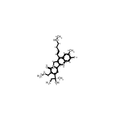 CC[C@](C)(O)c1cc2n(c(=O)c1COC)Cc1c-2nc2cc(F)c(C)cc2c1/C=C/CCNC